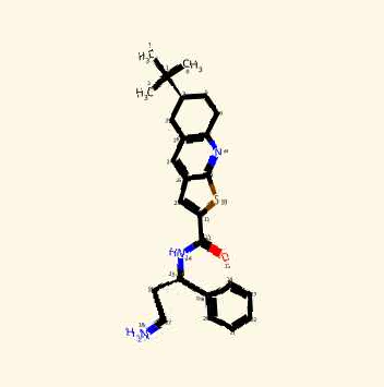 CC(C)(C)[C@H]1CCc2nc3sc(C(=O)N[C@H](CCN)c4ccccc4)cc3cc2C1